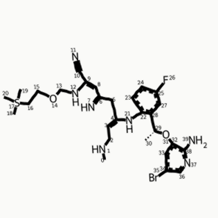 CNC/C=C(/CC(=N)/C=C(/C#N)NCOCCS(C)(C)C)Nc1ccc(F)cc1[C@@H](C)Oc1cc(Br)cnc1N